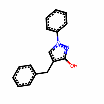 Oc1nn(-c2ccccc2)cc1Cc1ccccc1